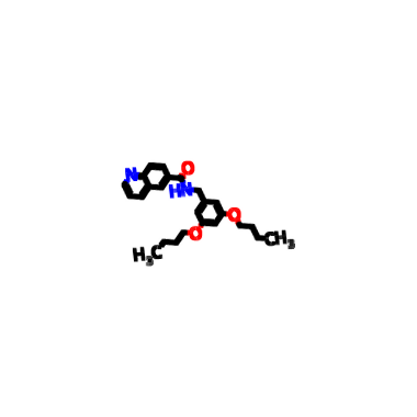 CCCCOc1cc(CNC(=O)c2ccc3ncccc3c2)cc(OCCCC)c1